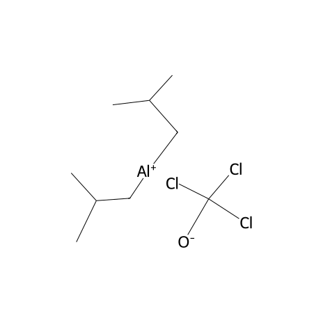 CC(C)[CH2][Al+][CH2]C(C)C.[O-]C(Cl)(Cl)Cl